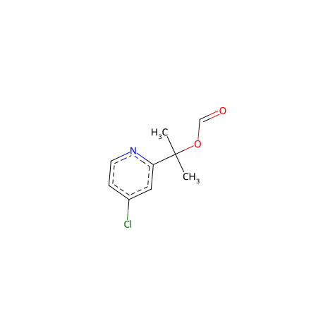 CC(C)(OC=O)c1cc(Cl)ccn1